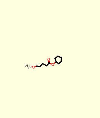 COCCCCC(=O)OC1CCCCC1